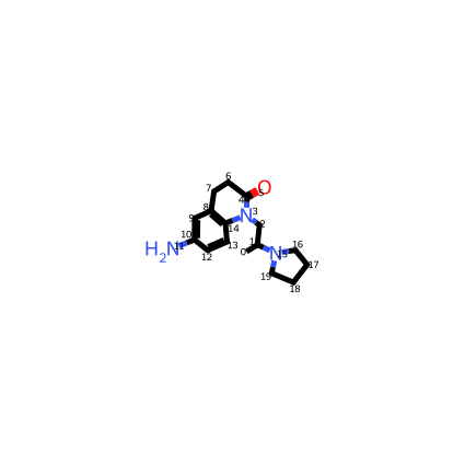 CC(CN1C(=O)CCc2cc(N)ccc21)N1CCCC1